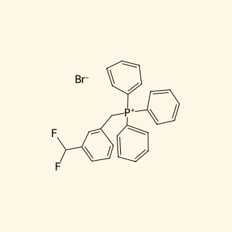 FC(F)c1cccc(C[P+](c2ccccc2)(c2ccccc2)c2ccccc2)c1.[Br-]